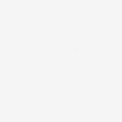 O=C(O)Nc1cnccc1C#CCN1CCCC1